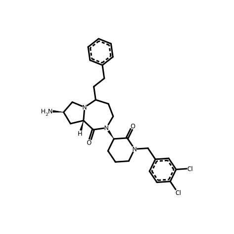 N[C@@H]1C[C@H]2C(=O)N([C@@H]3CCCN(Cc4ccc(Cl)c(Cl)c4)C3=O)CCC(CCc3ccccc3)N2C1